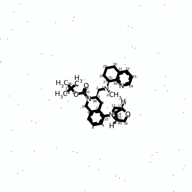 CN(C[C@H]1Cc2c(cccc2N2C[C@H]3C[C@@H]2CO3)CN1C(=O)OC(C)(C)C)[C@H]1CCCc2cccnc21